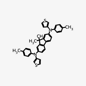 Cc1ccc(N(c2ccsc2)c2ccc3c(c2)C(C)(C)c2cc(N(c4ccc(C)cc4)c4ccsc4)ccc2-3)cc1